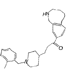 Cc1ccccc1CN1CCC(CCC(=O)c2ccc3c(c2)CNCCC3)CC1